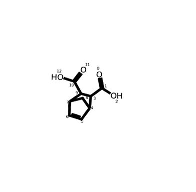 O=C(O)C1[C]2C=CC(C2)C1C(=O)O